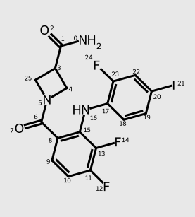 NC(=O)C1CN(C(=O)c2ccc(F)c(F)c2Nc2ccc(I)cc2F)C1